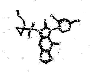 C=CCC1(S(=O)(=O)n2c(=O)n(-c3ccc(Br)cc3Cl)c3c(F)c4ncoc4cc32)CC1